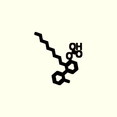 CCCCCCCCCc1c(OC(=O)O)cccc1-c1ccccc1C